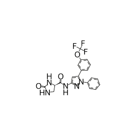 O=C1NC[C@H](C(=O)Nc2cc(-c3cccc(OC(F)(F)F)c3)n(-c3ccccc3)n2)N1